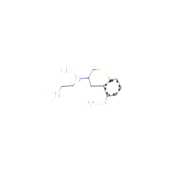 CCCN(CCN)C1CSc2cccc(OC)c2C1